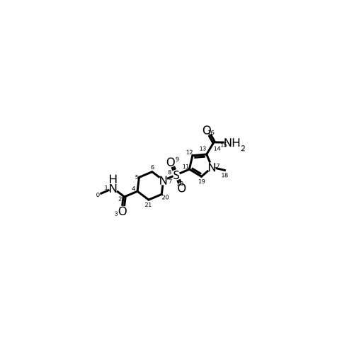 CNC(=O)C1CCN(S(=O)(=O)c2cc(C(N)=O)n(C)c2)CC1